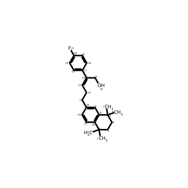 CC1(C)CCC(C)(C)c2cc(CC/C=C(\CO)c3ccc(F)cc3)ccc21